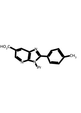 Cc1ccc(-c2nc3cc(C(=O)O)cnc3n2C(C)C)cc1